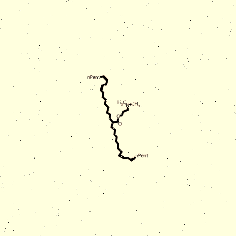 CCCCC/C=C\C/C=C\CCCCCCCCC(CCCCCCCC/C=C\C/C=C\CCCCC)C(=O)OCCCN(C)C